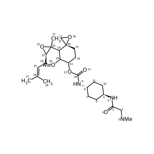 CNCC(=O)N[C@H]1CC[C@H](NC(=O)OC2CC[C@]3(CO3)C(C3(C)O[C@@H]3CC=C(C)C)C2OC)CC1